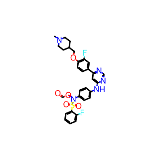 CN1CCC(COc2ccc(-c3cc(Nc4ccc(N(OC=O)S(=O)(=O)c5ccccc5F)cc4)ncn3)cc2F)CC1